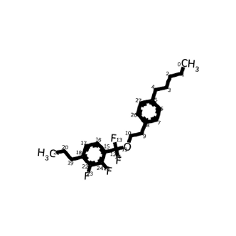 CCCCCc1ccc(CCOC(F)(F)c2ccc(CCC)c(F)c2F)cc1